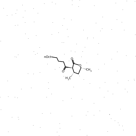 CCCCCCCCCCCC(=O)[C@H]1C(=O)O[C@H](C)C[C@@H]1C